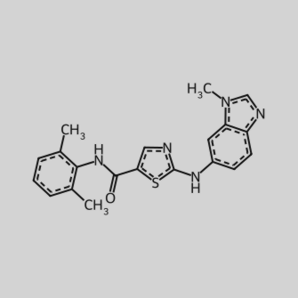 Cc1cccc(C)c1NC(=O)c1cnc(Nc2ccc3ncn(C)c3c2)s1